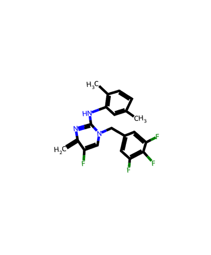 C=C1N=C(Nc2cc(C)ccc2C)N(Cc2cc(F)c(F)c(F)c2)C=C1F